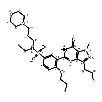 CCCOc1ccc(S(=O)(=O)N(CC)CCCN2CCOCC2)cc1-c1nc2c(CCC)nn(C)c2c(=O)[nH]1